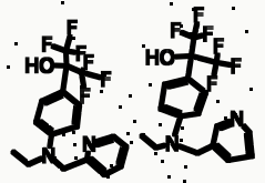 CCN(Cc1ccccn1)c1ccc(C(O)(C(F)(F)F)C(F)(F)F)cc1.CCN(Cc1cccnc1)c1ccc(C(O)(C(F)(F)F)C(F)(F)F)cc1